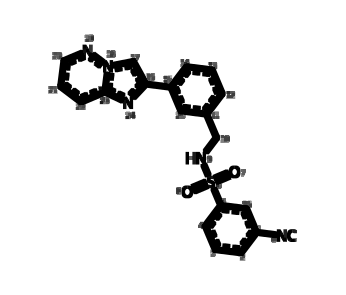 [C-]#[N+]c1cccc(S(=O)(=O)NCc2cccc(-c3cn4ncccc4n3)c2)c1